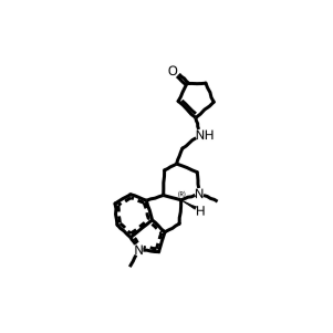 CN1CC(CNC2=CC(=O)CC2)CC2c3cccc4c3c(cn4C)C[C@H]21